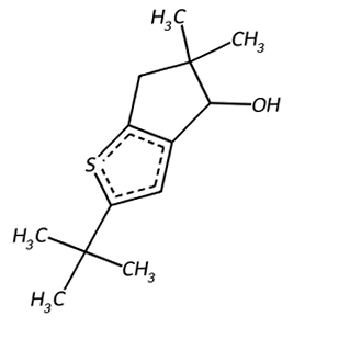 CC(C)(C)c1cc2c(s1)CC(C)(C)C2O